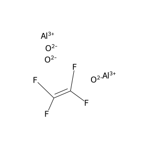 FC(F)=C(F)F.[Al+3].[Al+3].[O-2].[O-2].[O-2]